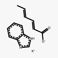 C/C=C/C=C/C(=O)[O-].[K+].c1ccc2[nH]cnc2c1